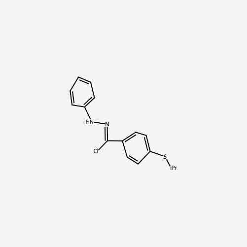 CC(C)Sc1ccc(C(Cl)=NNc2ccccc2)cc1